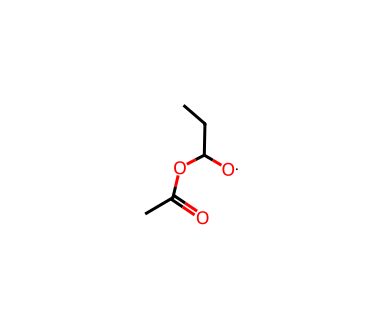 CCC([O])OC(C)=O